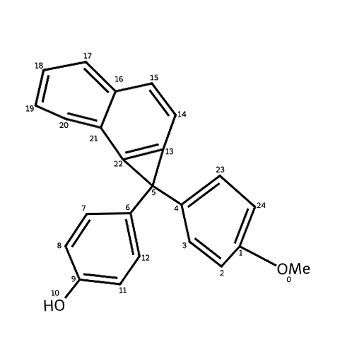 COc1ccc(C2(c3ccc(O)cc3)c3ccc4ccccc4c32)cc1